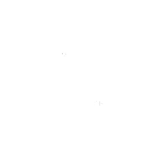 CC(=CCO)CCOC(C)C